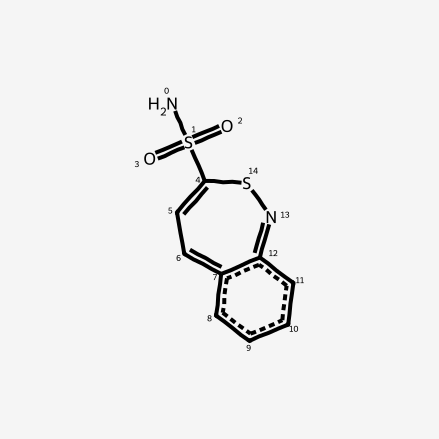 NS(=O)(=O)C1=CC=c2ccccc2=NS1